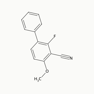 COc1ccc(-c2ccccc2)c(F)c1C#N